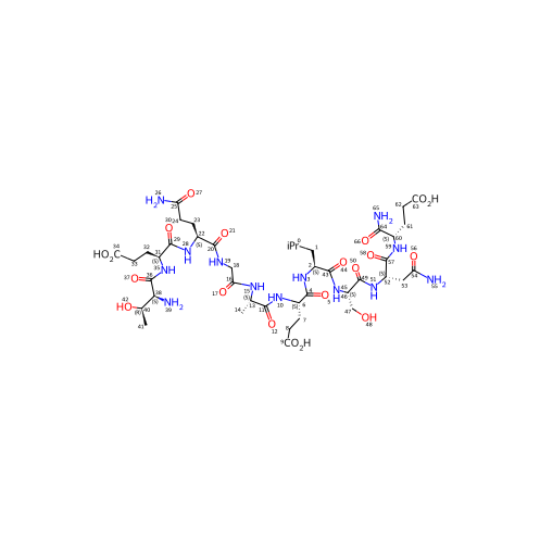 CC(C)C[C@H](NC(=O)[C@H](CCC(=O)O)NC(=O)[C@H](C)NC(=O)CNC(=O)[C@H](CCC(N)=O)NC(=O)[C@H](CCC(=O)O)NC(=O)[C@@H](N)[C@@H](C)O)C(=O)N[C@@H](CO)C(=O)N[C@@H](CC(N)=O)C(=O)N[C@@H](CCC(=O)O)C(N)=O